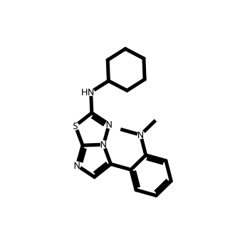 CN(C)c1ccccc1-c1cnc2sc(NC3CCCCC3)nn12